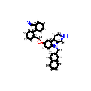 N#Cc1ccccc1-c1ccccc1COc1ccc2c(c1)c1c(n2Cc2ccc3ccccc3c2)CNCC1